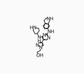 OCCn1cc(-c2cnc(Nc3ccc4c(c3)CNCC4)nc2NC2CCNCC2)cn1